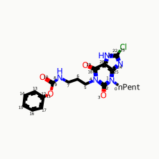 CCCCCn1c(=O)n(CCCNC(=O)Oc2ccccc2)c(=O)c2[nH]c(Cl)nc21